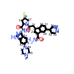 CN1CCN(c2ccc3c(NC(=O)C4CC(F)CN4C(=O)CC4C=C(C(N)=O)c5cc(-c6ccnnc6)ccc54)n[nH]c3c2)CC1